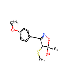 COc1ccc(C2=NOC(C)(O)C2SC)cc1